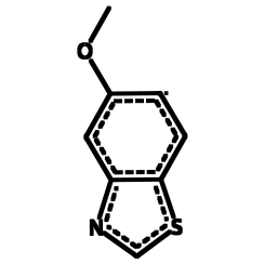 COc1[c]cc2scnc2c1